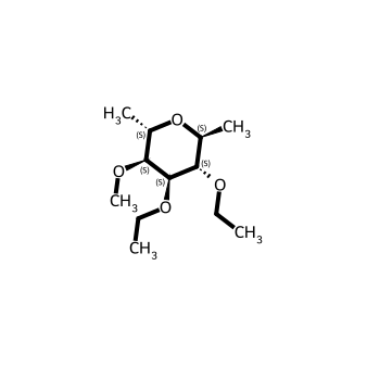 CCO[C@H]1[C@@H](OC)[C@H](C)O[C@@H](C)[C@@H]1OCC